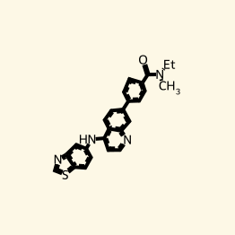 CCN(C)C(=O)c1ccc(-c2ccc3c(Nc4ccc5scnc5c4)ccnc3c2)cc1